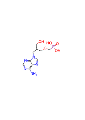 Nc1ncnc2c1ncn2CC(CO)COCP(=O)(O)O